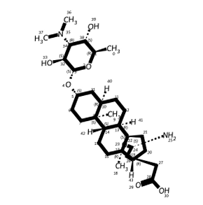 C[C@H]1O[C@H](O[C@H]2CC[C@@]3(C)[C@H](CC[C@@H]4[C@@H]3CC[C@]3(C)[C@@H]5CC[C@]43O[C@H](N)[C@@H]5CC(=O)O)C2)[C@@H](O)[C@H](N(C)C)[C@@H]1O